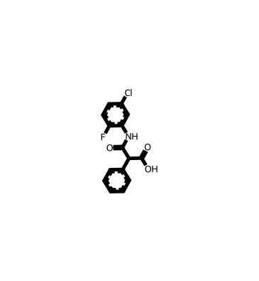 O=C(O)C(C(=O)Nc1cc(Cl)ccc1F)c1ccccc1